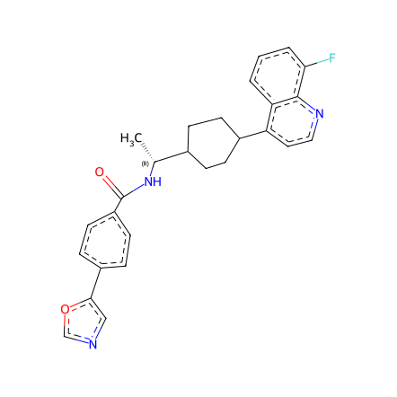 C[C@@H](NC(=O)c1ccc(-c2cnco2)cc1)C1CCC(c2ccnc3c(F)cccc23)CC1